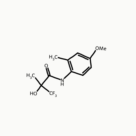 COc1ccc(NC(=O)C(C)(O)C(F)(F)F)c(C)c1